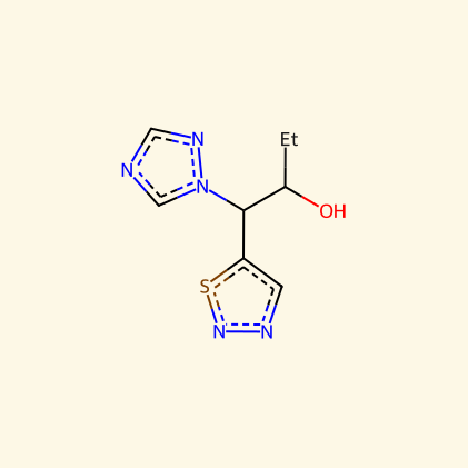 CCC(O)C(c1cnns1)n1cncn1